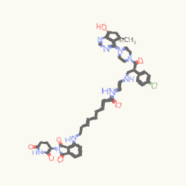 C[C@@H]1C[C@@H](O)c2ncnc(N3CCN(C(=O)C(CNCCNC(=O)CCCCCCCCNc4cccc5c4C(=O)N(C4CCC(=O)NC4=O)C5=O)c4ccc(Cl)cc4)CC3)c21